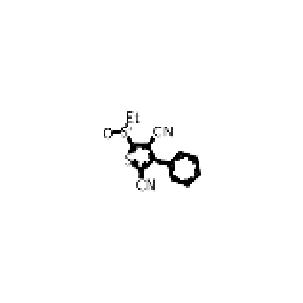 CC[S+]([O-])c1sc(C#N)c(-c2ccccc2)c1C#N